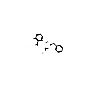 COC(=O)c1c(F)cccc1OC[C@@H](Cc1ccccc1)NC(=O)OC(C)(C)C